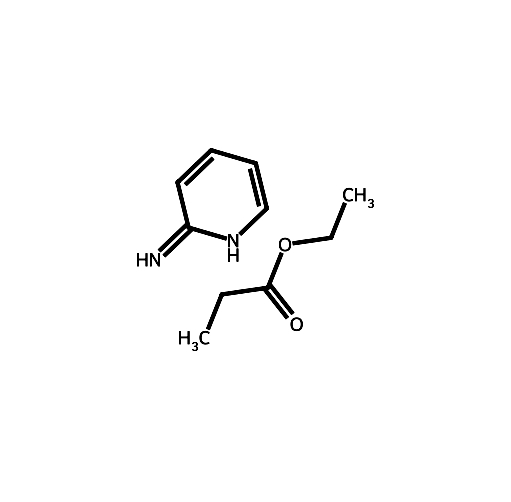 CCOC(=O)CC.N=c1cccc[nH]1